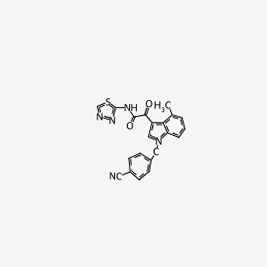 Cc1cccc2c1c(C(=O)C(=O)Nc1nncs1)cn2Cc1ccc(C#N)cc1